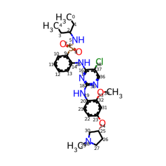 CCC(CC)NS(=O)(=O)c1ccccc1Nc1nc(Nc2ccc(O[C@@H]3CCN(C)C3)cc2OC)ncc1Cl